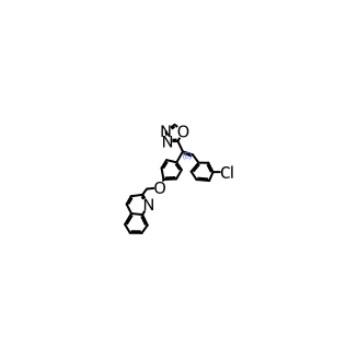 Clc1cccc(/C=C(\c2ccc(OCc3ccc4ccccc4n3)cc2)c2nnco2)c1